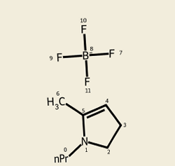 CCCN1CCC=C1C.F[B-](F)(F)F